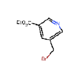 CCOC(=O)c1cncc(CBr)c1